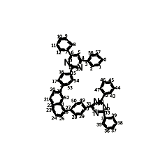 c1ccc(-c2cc(-c3ccccc3)nc(-c3ccc(-c4ccc5cccc(-c6ccc(-c7nc(-c8ccccc8)nc(-c8ccccc8)n7)cc6)c5c4)cc3)n2)cc1